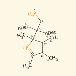 CCCCCCCCCCC(CP)(CCCCCCCCCC)C1(C)P=C(C)C(C)=C1C